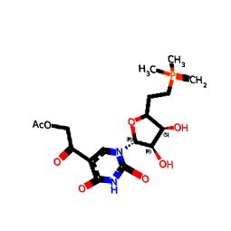 C=P(C)(C)CCC1O[C@@H](n2cc(C(=O)COC(C)=O)c(=O)[nH]c2=O)[C@H](O)[C@@H]1O